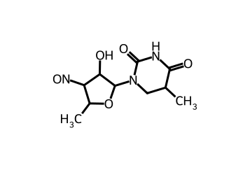 CC1CN(C2OC(C)C(N=O)C2O)C(=O)NC1=O